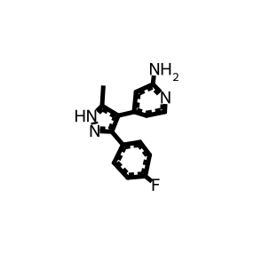 Cc1[nH]nc(-c2ccc(F)cc2)c1-c1ccnc(N)c1